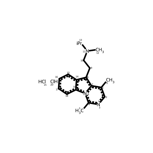 Cc1cnc(C)n2c1c(CCN(C)C(C)C)c1ccccc12.Cl.Cl